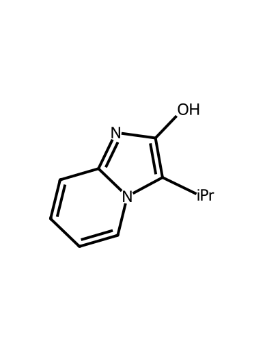 CC(C)c1c(O)nc2ccccn12